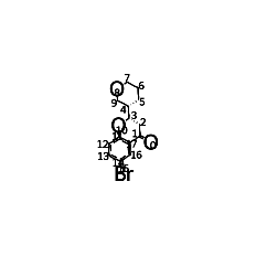 O=C1C[C@@H]([C@H]2CCCOC2)Oc2ccc(Br)cc21